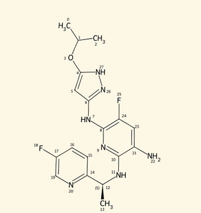 CC(C)Oc1cc(Nc2nc(N[C@@H](C)c3ccc(F)cn3)c(N)cc2F)n[nH]1